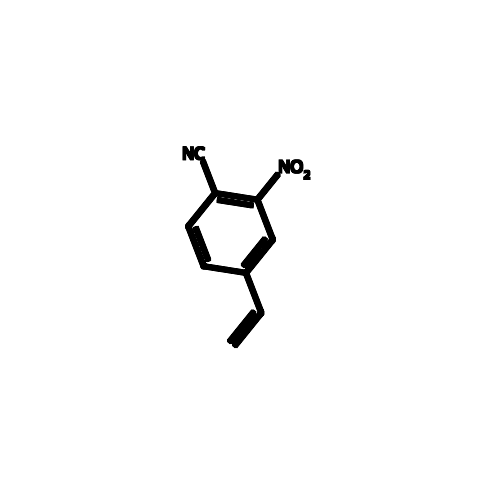 C=Cc1ccc(C#N)c([N+](=O)[O-])c1